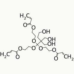 C=CC(=O)OCCOC(OCCOC(=O)C=C)(OCCOC(=O)C=C)C(CO)(CO)CCO